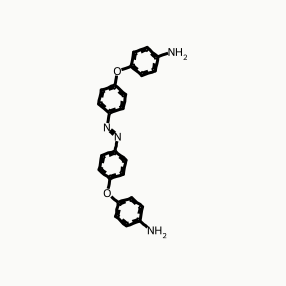 Nc1ccc(Oc2ccc(/N=N/c3ccc(Oc4ccc(N)cc4)cc3)cc2)cc1